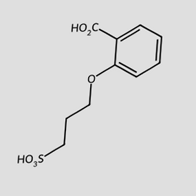 O=C(O)c1ccccc1OCCCS(=O)(=O)O